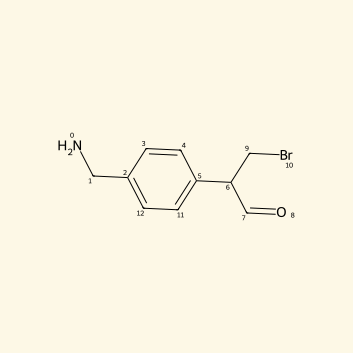 NCc1ccc(C(C=O)CBr)cc1